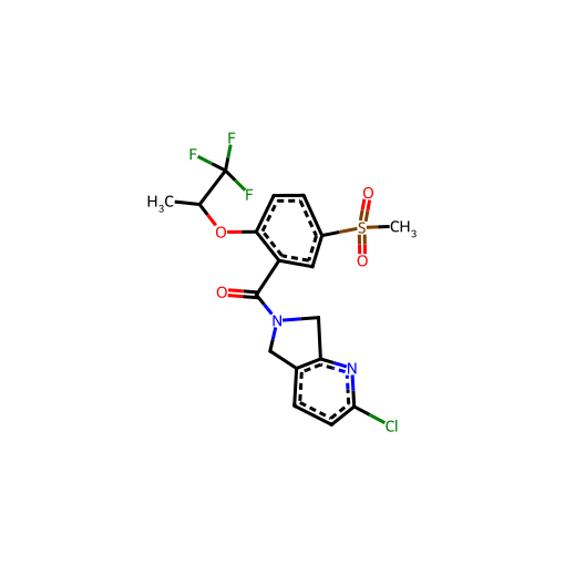 CC(Oc1ccc(S(C)(=O)=O)cc1C(=O)N1Cc2ccc(Cl)nc2C1)C(F)(F)F